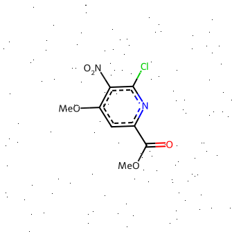 COC(=O)c1cc(OC)c([N+](=O)[O-])c(Cl)n1